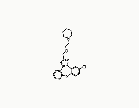 Clc1ccc2c(c1)-c1sc(COCCN3CCCCC3)cc1-c1ccccc1S2